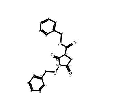 O=C(OCc1ccccc1)C1CC(=O)N(OCc2ccccc2)C1=O